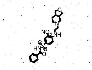 O=C(NS(=O)(=O)c1ccc(NCCN2CCC3COCC3C2)c([N+](=O)[O-])c1)c1ccccc1